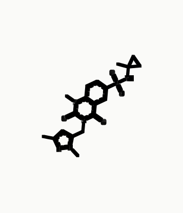 Cc1cc(Cn2c(=O)c3cc(S(=O)(=O)NC4(C)CC4)ccc3n(C)c2=O)n(C)n1